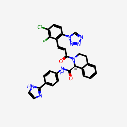 O=C(Nc1ccc(-c2ncc[nH]2)cc1)[C@@H]1c2ccccc2CCN1C(=O)C=Cc1c(-n2cnnn2)ccc(Cl)c1F